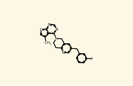 Cc1coc2ncnc(N3CCc4ncc(Cc5cccc(F)c5)cc4C3)c12